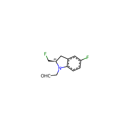 O=CCN1c2ccc(F)cc2C[C@@H]1CF